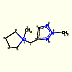 Cn1ncc(C[N+]2(C)CCCC2)n1